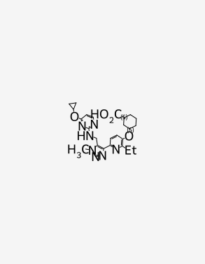 CCc1nc(-c2nnn(C)c2CNc2nccc(OC3CC3)n2)ccc1O[C@H]1CCC[C@H](C(=O)O)C1